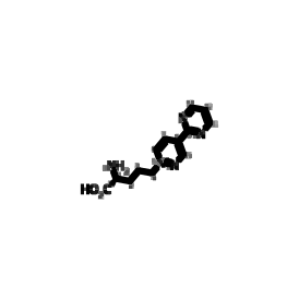 N[C@@H](CCC[n+]1ccc(-c2ncccn2)cn1)C(=O)O